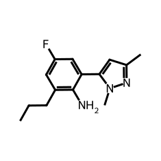 CCCc1cc(F)cc(-c2cc(C)nn2C)c1N